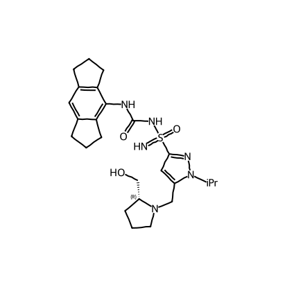 CC(C)n1nc(S(=N)(=O)NC(=O)Nc2c3c(cc4c2CCC4)CCC3)cc1CN1CCC[C@@H]1CO